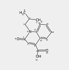 CC(C)Cn1c(=O)cc(C(=O)O)c2ccccc21